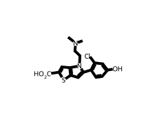 CN(C)CCn1c(-c2ccc(O)cc2Cl)cc2sc(C(=O)O)cc21